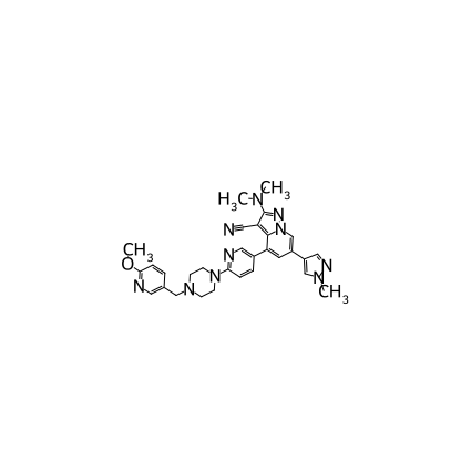 COc1ccc(CN2CCN(c3ccc(-c4cc(-c5cnn(C)c5)cn5nc(N(C)C)c(C#N)c45)cn3)CC2)cn1